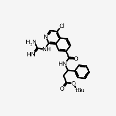 CC(C)(C)OC(=O)CC(NC(=O)c1ccc2c(Cl)cnc(NC(=N)N)c2c1)c1ccccc1